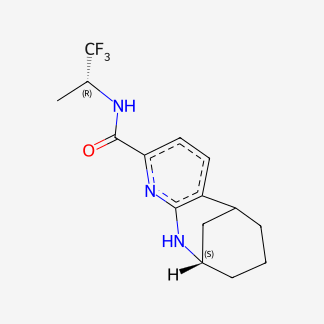 C[C@@H](NC(=O)c1ccc2c(n1)N[C@H]1CCCC2C1)C(F)(F)F